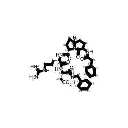 N=C(N)NCCC[C@H](NC(=O)[C@@H]1CC[C@@H]2CCC(NC(=O)Cc3ccccc3)C(=O)N21)C(=O)N[C@@H](CC(=O)O)C(=O)NCc1ccccc1